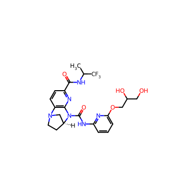 CC(NC(=O)c1ccc2c(n1)N(C(=O)Nc1cccc(OCC(O)CO)n1)[C@H]1CCN2C1)C(F)(F)F